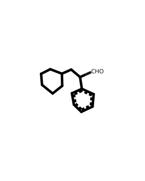 O=CC(CC1CCCCC1)c1ccccc1